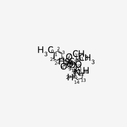 Cc1ccc(S(=O)(=O)OC[C@@H]2C[C@@H]3CC[C@H]2N3C(=O)OC(C)(C)C)cc1